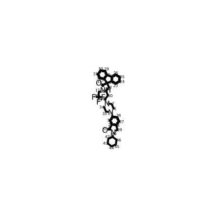 O=C1c2cc(N3CCN(CCCCC4(C(=O)NCC(F)(F)F)c5ccccc5-c5ccccc54)CC3)ccc2CN1C1CCCCC1